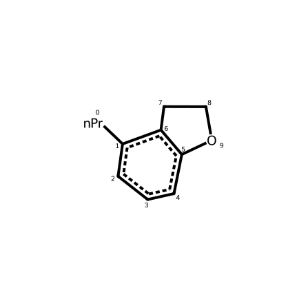 [CH2]CCc1cccc2c1CCO2